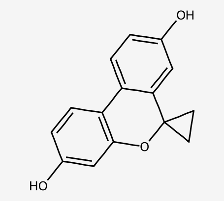 Oc1ccc2c(c1)OC1(CC1)c1cc(O)ccc1-2